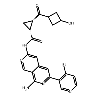 CCc1ccncc1-c1cc2cc(NC(=O)[C@@H]3C[C@H]3C(=O)C3CC(O)C3)ncc2c(N)n1